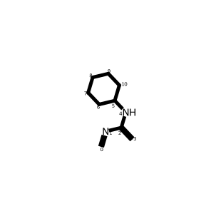 C=NC(=C)NC1CCCCC1